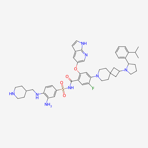 CC(C)c1ccccc1C1CCCN1C1CC2(CCN(c3cc(Oc4cnc5[nH]ccc5c4)c(C(=O)NS(=O)(=O)c4ccc(NCC5CCNCC5)c(N)c4)cc3F)CC2)C1